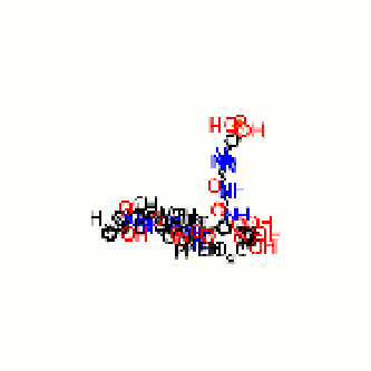 CC[C@H](C)[C@@H]([C@@H](CC(=O)N1CCC[C@H]1[C@H](OC)[C@@H](C)C(=O)N[C@H](C)[C@@H](O)c1ccccc1)OC)N(C)C(=O)[C@@H](NC(=O)[C@H](C(C)C)N(C)C(=O)OCc1ccc(O[C@@H]2O[C@H](C(=O)O)[C@@H](O)[C@H](O)[C@H]2O)c(NC(=O)CCNC(=O)CCc2nnc(-c3ccc(P(=O)(O)O)cc3)nn2)c1)C(C)C